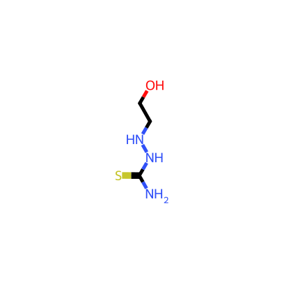 NC(=S)NNCCO